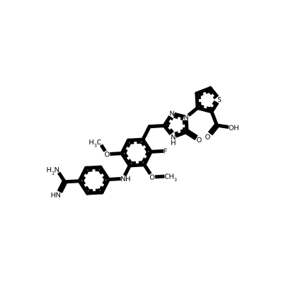 COc1cc(Cc2nn(-c3ccsc3C(=O)O)c(=O)[nH]2)c(F)c(OC)c1Nc1ccc(C(=N)N)cc1